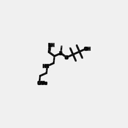 COCCNCC(C=N)B(C)OC(C)(C)C(C)(C)O